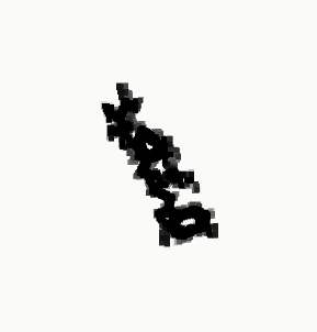 CC(C)N(CCc1c[nH]c2cc(Cl)ccc12)Cc1cccc(OC(F)(F)C(F)C(F)F)c1